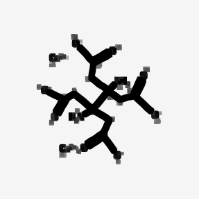 NC(CC(=O)[O-])(CC(=O)[O-])C(N)(CC(=O)[O-])CC(=O)[O-].[Cu+2].[Cu+2]